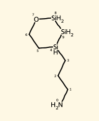 NCCC[SiH]1CCO[SiH2][SiH2]1